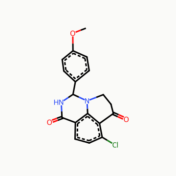 COc1ccc(C2NC(=O)c3ccc(Cl)c4c3N2CCC4=O)cc1